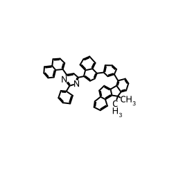 CC1(C)c2cccc(-c3cccc(-c4ccc(-c5cc(-c6cccc7ccccc67)nc(-c6ccccc6)n5)c5ccccc45)c3)c2-c2ccc3ccccc3c21